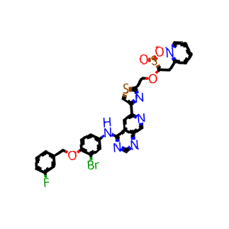 O=S(=O)=C(Cc1ccccn1)OCc1nc(-c2cc3c(Nc4ccc(OCc5cccc(F)c5)c(Br)c4)ncnc3cn2)cs1